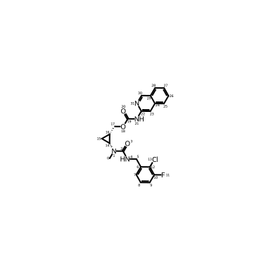 CN(C(=O)NCc1cccc(F)c1Cl)[C@@H]1C[C@@H]1COC(=O)Nc1cc2ccccc2cn1